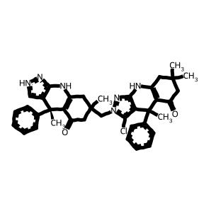 CC1(C)CC(=O)C2=C(C1)Nc1nn(CC3(C)CC(=O)C4=C(C3)Nc3n[nH]cc3[C@@]4(C)c3ccccc3)c(Cl)c1C2(C)c1ccccc1